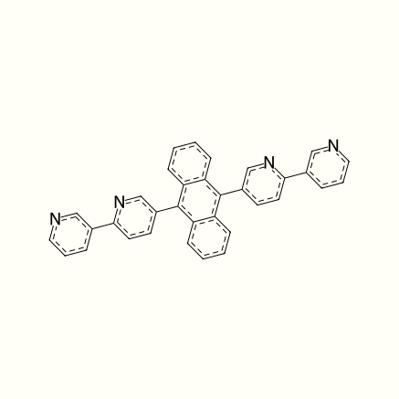 c1cncc(-c2ccc(-c3c4ccccc4c(-c4ccc(-c5cccnc5)nc4)c4ccccc34)cn2)c1